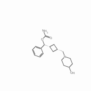 NC(=O)OC(c1ccccc1)[C@H]1C[C@@H](CN2CCC(O)CC2)C1